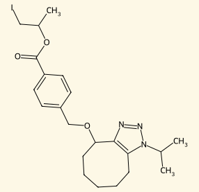 CC(CI)OC(=O)c1ccc(COC2CCCCCc3c2nnn3C(C)C)cc1